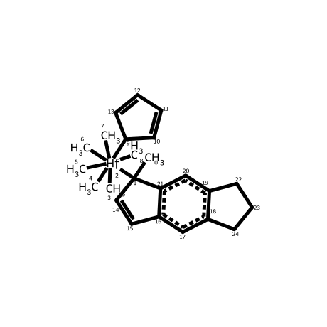 C[C]1([Hf]([CH3])([CH3])([CH3])([CH3])([CH3])([CH3])[CH]2C=CC=C2)C=Cc2cc3c(cc21)CCC3